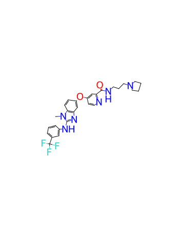 Cn1c(Nc2cccc(C(F)(F)F)c2)nc2cc(Oc3ccnc(C(=O)NCCCN4CCCC4)c3)ccc21